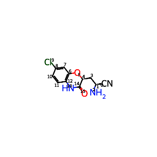 N#C[C@@H](N)C[C@@H]1Oc2cc(Cl)ccc2NC1=O